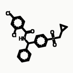 O=C(NC(c1ccccc1)c1ccc(S(=O)(=O)CC2CC2)cc1)c1ccc(Cl)cc1Cl